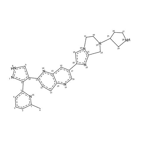 Cc1cccc(-c2n[nH]cc2-c2ccc3ncc(-c4cn5c(n4)CN(C4CCNC4)CC5)cc3n2)n1